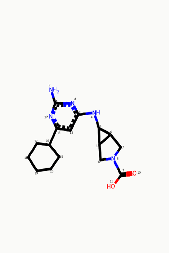 Nc1nc(NC2C3CN(C(=O)O)CC32)cc(C2CCCCC2)n1